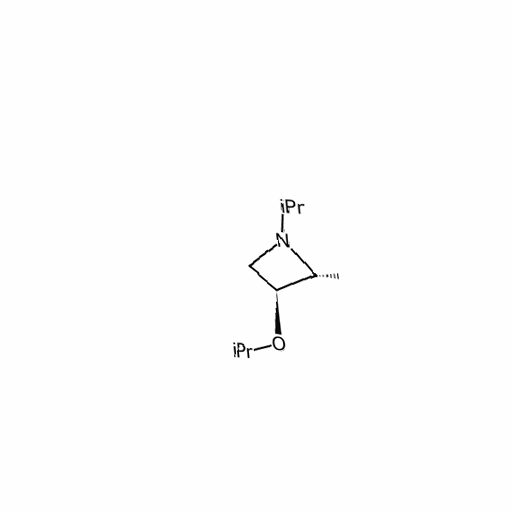 CC(C)O[C@H]1CN(C(C)C)[C@@H]1C